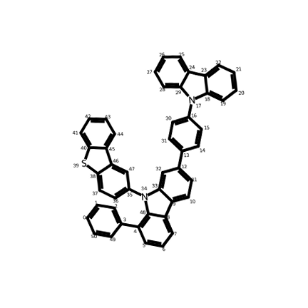 c1ccc(-c2cccc3c4ccc(-c5ccc(-n6c7ccccc7c7ccccc76)cc5)cc4n(-c4ccc5sc6ccccc6c5c4)c23)cc1